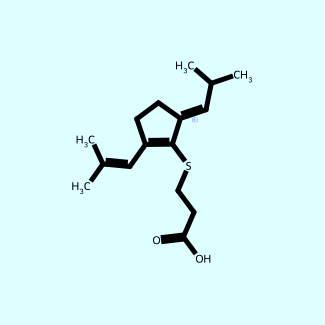 CC(C)=CC1=C(SCCC(=O)O)/C(=C/C(C)C)CC1